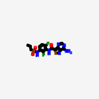 CCCS(=O)(=O)Nc1ccc(F)c(NC(=O)c2snc3c(N)ncnc23)c1F